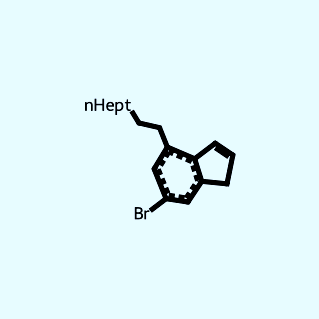 CCCCCCCCCc1cc(Br)cc2c1C=CC2